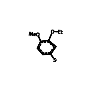 CCOc1cc([S])ccc1OC